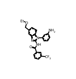 CCOCc1ccc2c(c1)nc(NC(=O)c1cccc(C(F)(F)F)c1)n2-c1cccc(N)c1